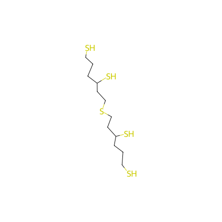 SCCCC(S)CCSCCC(S)CCCS